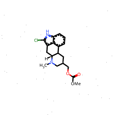 COC(=O)OCC1CC2c3cccc4[nH]c(Cl)c(c34)C[C@H]2N(C)C1